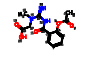 CC(=O)Oc1ccccc1C(=O)NC(=N)N(C)CC(=O)O